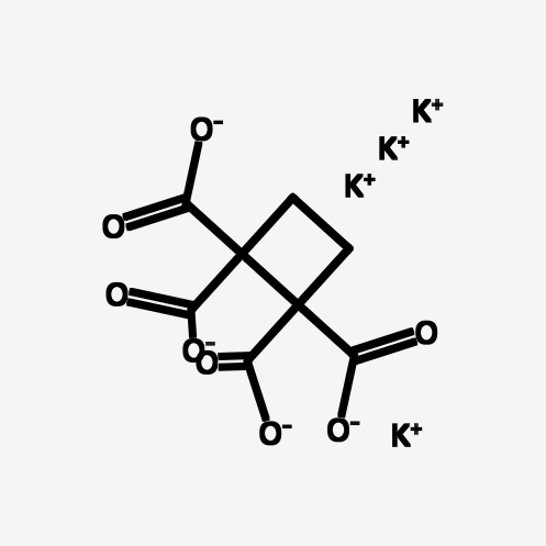 O=C([O-])C1(C(=O)[O-])CCC1(C(=O)[O-])C(=O)[O-].[K+].[K+].[K+].[K+]